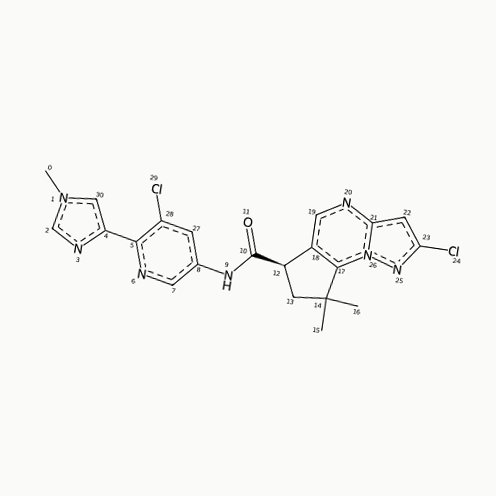 Cn1cnc(-c2ncc(NC(=O)[C@@H]3CC(C)(C)c4c3cnc3cc(Cl)nn43)cc2Cl)c1